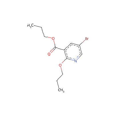 CCCOC(=O)c1cc(Br)cnc1OCCC